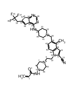 C=CC(=O)NN1CCN(CCn2c(C#N)cc3c(C)c(CN4CCC(Nc5ncnc6sc(CC(F)(F)F)cc56)CC4)ccc32)CC1